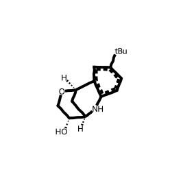 CC(C)(C)c1ccc2c(c1)[C@H]1C[C@@H](N2)[C@H](O)CO1